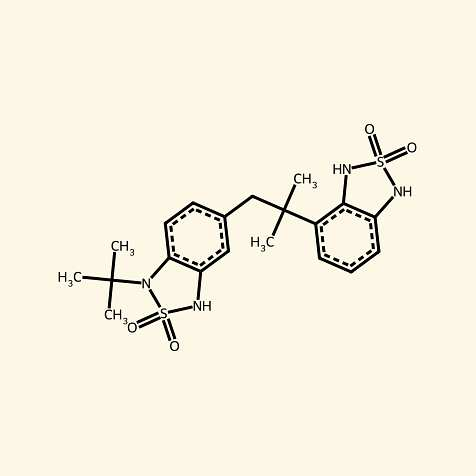 CC(C)(Cc1ccc2c(c1)NS(=O)(=O)N2C(C)(C)C)c1cccc2c1NS(=O)(=O)N2